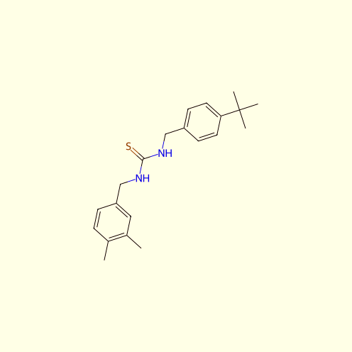 Cc1ccc(CNC(=S)NCc2ccc(C(C)(C)C)cc2)cc1C